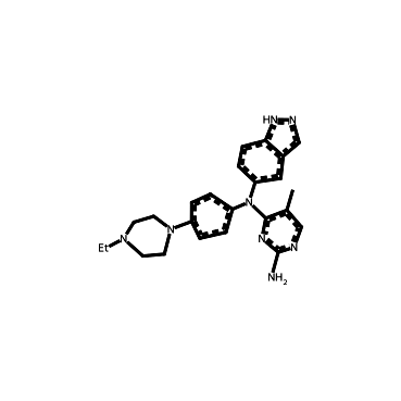 CCN1CCN(c2ccc(N(c3ccc4[nH]ncc4c3)c3nc(N)ncc3C)cc2)CC1